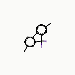 Cc1ccc2c(c1)C(I)(I)c1cc(C)ccc1-2